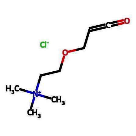 C[N+](C)(C)CCOCC=C=O.[Cl-]